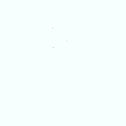 COc1c(N2CC3CCCN(C(=O)CC(P(=O)(O)O)P(=O)(O)O)C3C2)c(F)cc2c(=O)c(C(=O)O)cn(C3CC3)c12